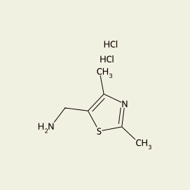 Cc1nc(C)c(CN)s1.Cl.Cl